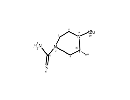 C[C@@H]1CN(C(N)=S)CCN1C(C)(C)C